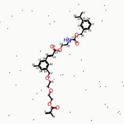 C=C(C)C(=O)OCCOCCOCc1cc(C)cc(/C=C/C(=O)OCCNC(=O)OCc2cccc(C(C)C)c2)c1